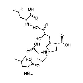 CN[C@@H](CC(C)C)C(=O)O.CN[C@@H](CC(C)C)C(=O)O.O=C(O)C(O)CN1CCC[C@H]1C(=O)O.O=C(O)[C@@H]1CCCN1